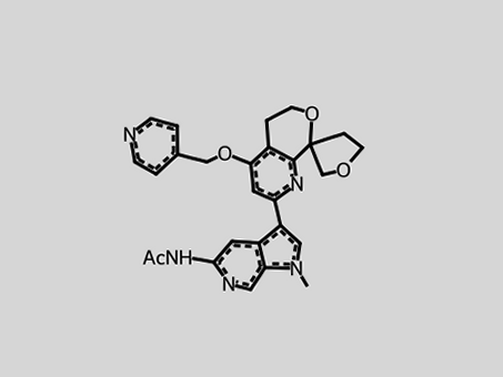 CC(=O)Nc1cc2c(-c3cc(OCc4ccncc4)c4c(n3)C3(CCOC3)OCC4)cn(C)c2cn1